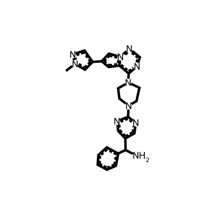 Cn1cc(-c2cc3c(N4CCN(c5ncc(C(N)c6ccccc6)cn5)CC4)ncnn3c2)cn1